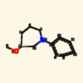 COC1CCCN(c2ccccc2)C1